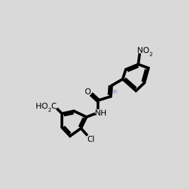 O=C(/C=C/c1cccc([N+](=O)[O-])c1)Nc1cc(C(=O)O)ccc1Cl